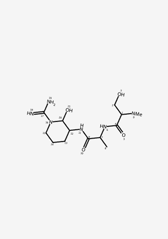 CNC(CO)C(=O)NC(C)C(=O)NC1CCCN(C(=N)N)C1O